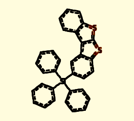 c1ccc([Si](c2ccccc2)(c2ccccc2)c2ccc3sc4sc5ccccc5c4c3c2)cc1